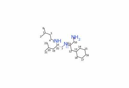 CC(C)CCN[C@H](C/N=C(/CN)CC1CCCCC1)CC(C)C